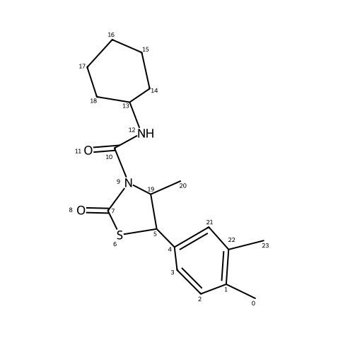 Cc1ccc(C2SC(=O)N(C(=O)NC3CCCCC3)C2C)cc1C